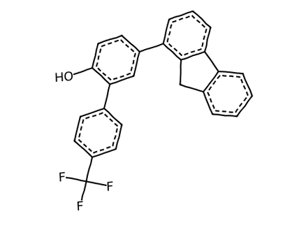 Oc1ccc(-c2cccc3c2Cc2ccccc2-3)cc1-c1ccc(C(F)(F)F)cc1